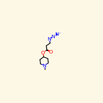 CN1CCC(OC(=O)CCN=[N+]=[N-])CC1